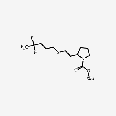 CC(C)(C)OC(=O)N1CCC[C@@H]1CCSCCCC(F)(F)C(F)(F)F